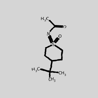 CC(=O)N=S1(=O)CCC(C(C)(C)C)CC1